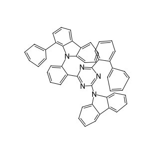 c1ccc(-c2ccccc2-c2nc(-c3ccccc3-n3c4ccccc4c4cccc(-c5ccccc5)c43)nc(-n3c4ccccc4c4ccccc43)n2)cc1